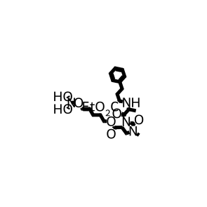 CCOC(=O)C(CCc1ccccc1)NC(C)C(=O)N1C(=O)N(C)CC1C(=O)OCCCCCON(O)O